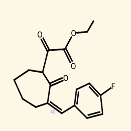 CCOC(=O)C(=O)C1CCCC/C(=C/c2ccc(F)cc2)C1=O